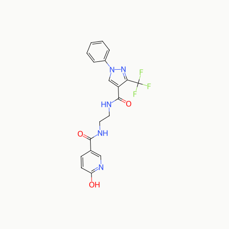 O=C(NCCNC(=O)c1cn(-c2ccccc2)nc1C(F)(F)F)c1ccc(O)nc1